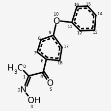 C/C(=N/O)C(=O)c1ccc(Oc2ccccc2)cc1